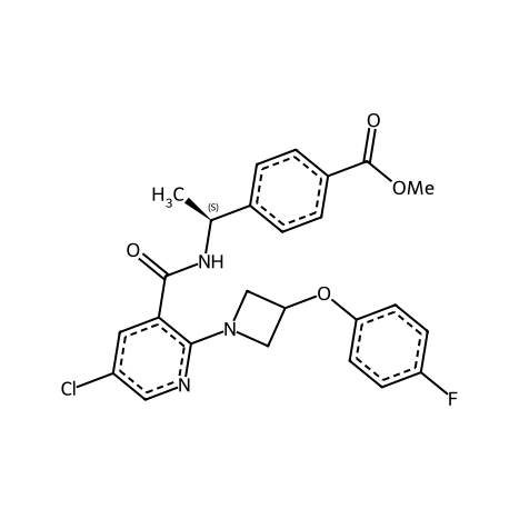 COC(=O)c1ccc([C@H](C)NC(=O)c2cc(Cl)cnc2N2CC(Oc3ccc(F)cc3)C2)cc1